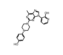 Cc1nc(N2CCN(c3ccc(O)cc3)CC2)nc2c1ncn2-c1cccnc1O